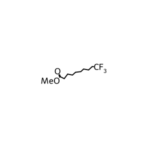 COC(=O)CCCCCCCCC(F)(F)F